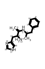 C=C(NC(C)Cc1ccccc1)C(N)Cc1c[nH]cn1